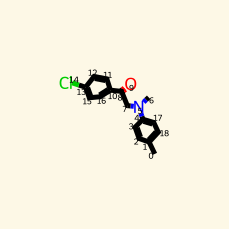 Cc1ccc(N(C)CC(=O)c2ccc(Cl)cc2)cc1